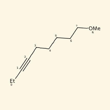 [CH2]CC#CCCCCCOC